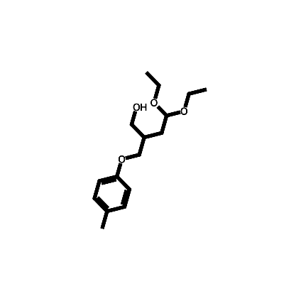 CCOC(CC(CO)COc1ccc(C)cc1)OCC